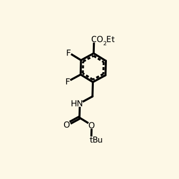 CCOC(=O)c1ccc(CNC(=O)OC(C)(C)C)c(F)c1F